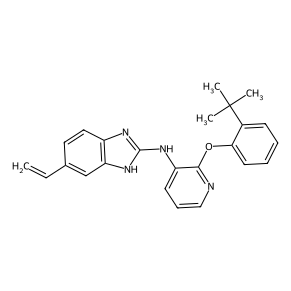 C=Cc1ccc2nc(Nc3cccnc3Oc3ccccc3C(C)(C)C)[nH]c2c1